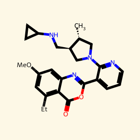 CCc1cc(OC)cc2nc(-c3cccnc3N3C[C@@H](CNC4CC4)[C@H](C)C3)oc(=O)c12